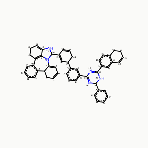 C1=CCC2C(=C1)N1C3=C(CCC=C3NC1C1=CC(c3cccc(C4=NC(c5ccccc5)NC(c5ccc6c(c5)C=CCC6)=N4)c3)CC=C1)c1ccccc12